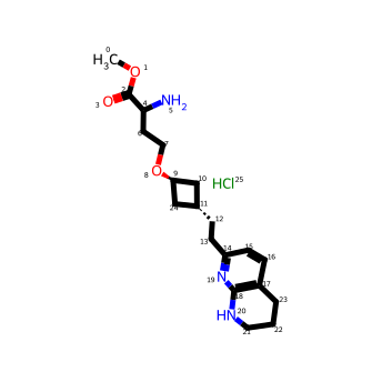 COC(=O)C(N)CCO[C@H]1C[C@H](CCc2ccc3c(n2)NCCC3)C1.Cl